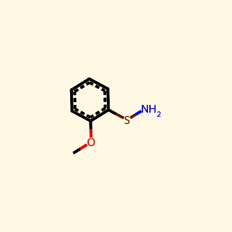 COc1ccccc1SN